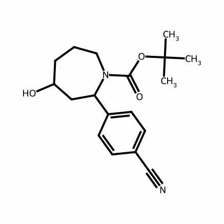 CC(C)(C)OC(=O)N1CCCC(O)CC1c1ccc(C#N)cc1